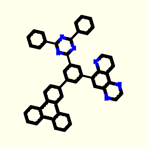 c1ccc(-c2nc(-c3ccccc3)nc(-c3cc(-c4ccc5c6ccccc6c6ccccc6c5c4)cc(-c4cc5nccnc5c5cccnc45)c3)n2)cc1